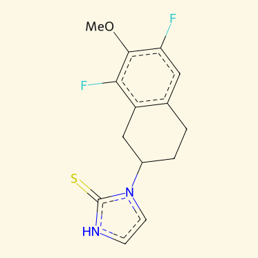 COc1c(F)cc2c(c1F)CC(n1cc[nH]c1=S)CC2